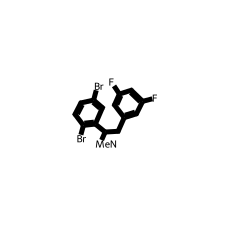 CNC(Cc1cc(F)cc(F)c1)c1cc(Br)ccc1Br